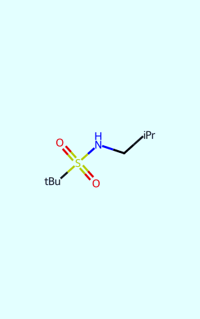 CC(C)CNS(=O)(=O)C(C)(C)C